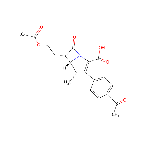 CC(=O)OCC[C@@H]1C(=O)N2C(C(=O)O)=C(c3ccc(C(C)=O)cc3)[C@H](C)[C@H]12